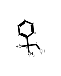 [CH2]C(O)(CO)c1ccccc1